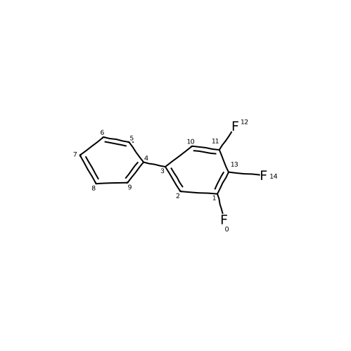 Fc1cc(-c2[c]cccc2)cc(F)c1F